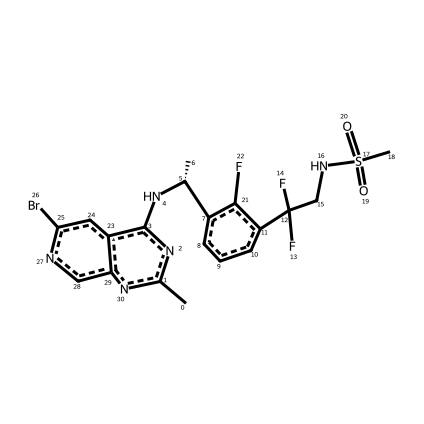 Cc1nc(N[C@H](C)c2cccc(C(F)(F)CNS(C)(=O)=O)c2F)c2cc(Br)ncc2n1